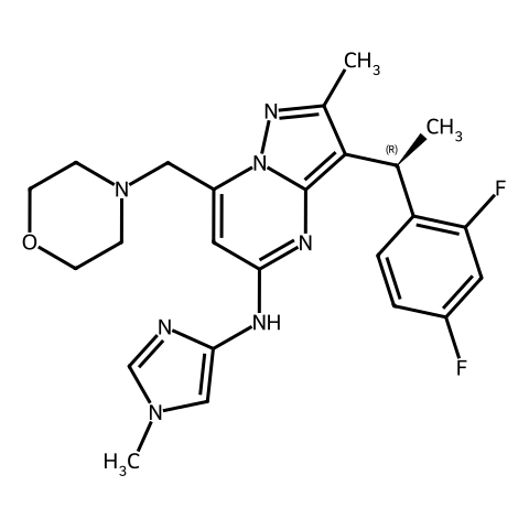 Cc1nn2c(CN3CCOCC3)cc(Nc3cn(C)cn3)nc2c1[C@@H](C)c1ccc(F)cc1F